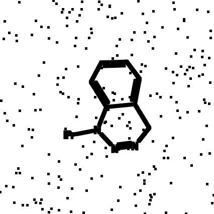 CC(C)N1N=NCc2ccccc21